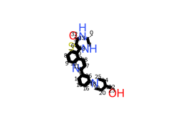 C[C@@H]1CNc2c(sc3ccc4nc(-c5cccc(N6CCC(CO)CC6)c5)ccc4c23)C(=O)N1